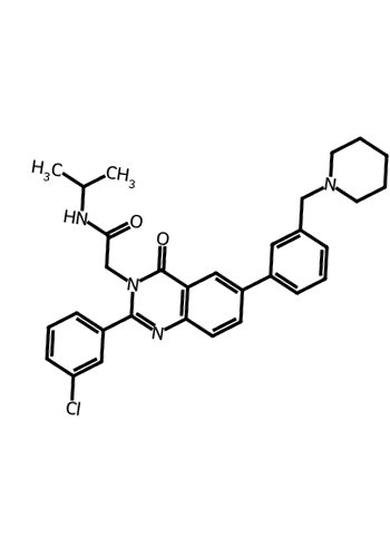 CC(C)NC(=O)Cn1c(-c2cccc(Cl)c2)nc2ccc(-c3cccc(CN4CCCCC4)c3)cc2c1=O